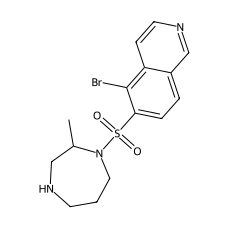 CC1CNCCCN1S(=O)(=O)c1ccc2cnccc2c1Br